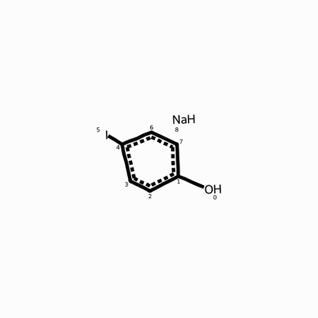 Oc1ccc(I)cc1.[NaH]